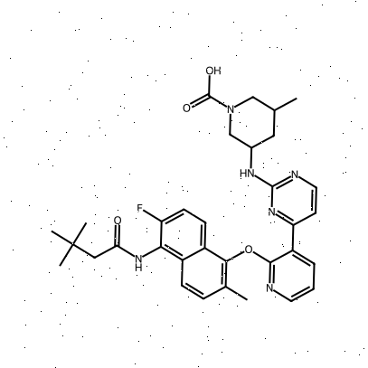 Cc1ccc2c(NC(=O)CC(C)(C)C)c(F)ccc2c1Oc1ncccc1-c1ccnc(NC2CC(C)CN(C(=O)O)C2)n1